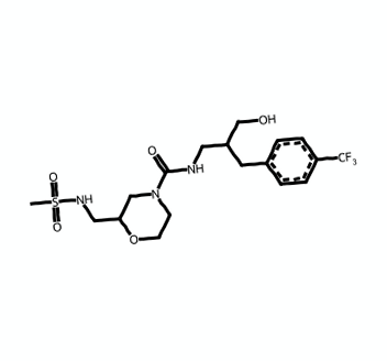 CS(=O)(=O)NCC1CN(C(=O)NCC(CO)Cc2ccc(C(F)(F)F)cc2)CCO1